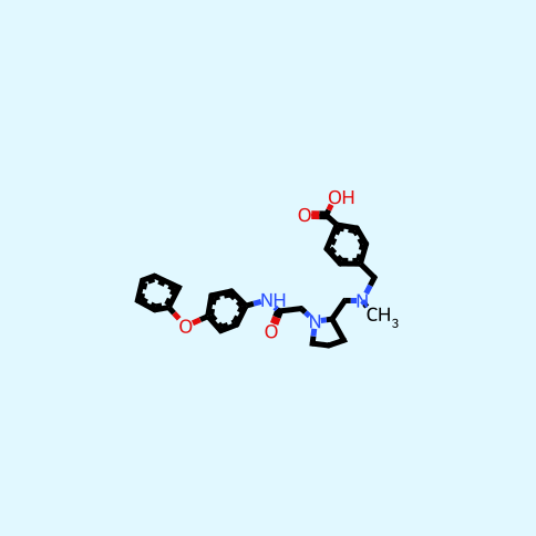 CN(Cc1ccc(C(=O)O)cc1)CC1CCCN1CC(=O)Nc1ccc(Oc2ccccc2)cc1